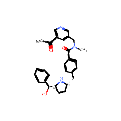 COC(=O)c1cncc(CN(C)C(=O)c2ccc(C[C@@H]3CC[C@H](C(O)c4ccccc4)N3)cc2)c1